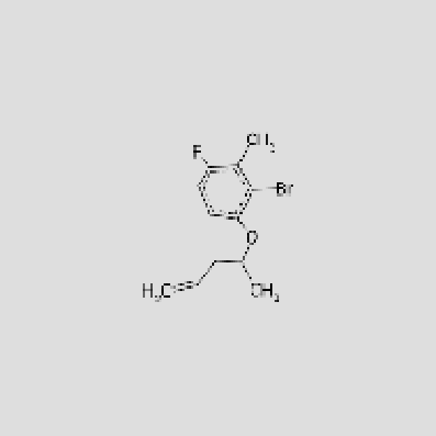 C=CCC(C)Oc1ccc(F)c(C)c1Br